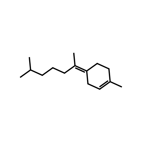 CC1=CCC(=C(C)CCCC(C)C)CC1